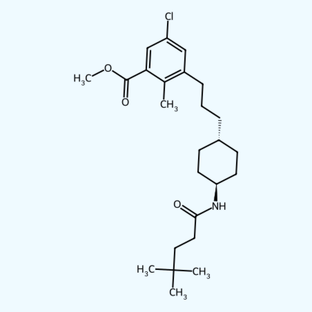 COC(=O)c1cc(Cl)cc(CCC[C@H]2CC[C@H](NC(=O)CCC(C)(C)C)CC2)c1C